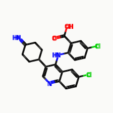 N=C1CCC(c2cnc3ccc(Cl)cc3c2Nc2ccc(Cl)cc2C(=O)O)CC1